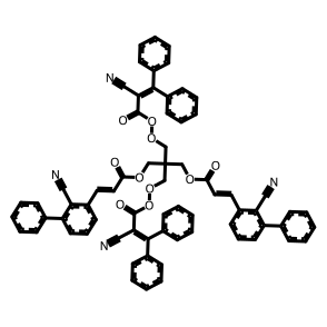 N#CC(C(=O)OOCC(COOC(=O)C(C#N)=C(c1ccccc1)c1ccccc1)(COC(=O)C=Cc1cccc(-c2ccccc2)c1C#N)COC(=O)C=Cc1cccc(-c2ccccc2)c1C#N)=C(c1ccccc1)c1ccccc1